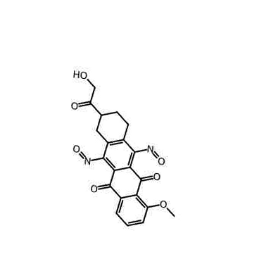 COc1cccc2c1C(=O)c1c(N=O)c3c(c(N=O)c1C2=O)CC(C(=O)CO)CC3